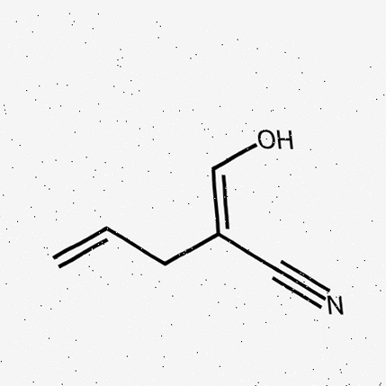 C=CCC(C#N)=CO